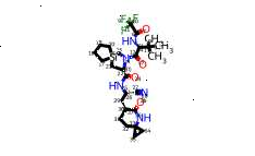 CC(C)(C)[C@H](NC(=O)C(F)(F)F)C(=O)N1C[Si]2(CCCC2)C[C@H]1C(=O)N[C@H](C#N)C[C@@H]1CCC2(CC2)NC1=O